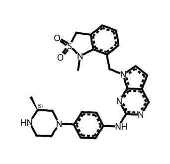 C[C@H]1CN(c2ccc(Nc3ncc4ccn(Cc5cccc6c5N(C)S(=O)(=O)C6)c4n3)cc2)CCN1